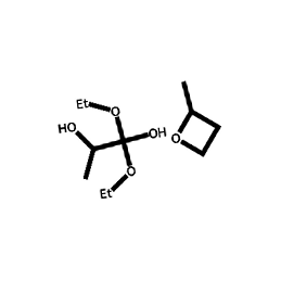 CC1CCO1.CCOC(O)(OCC)C(C)O